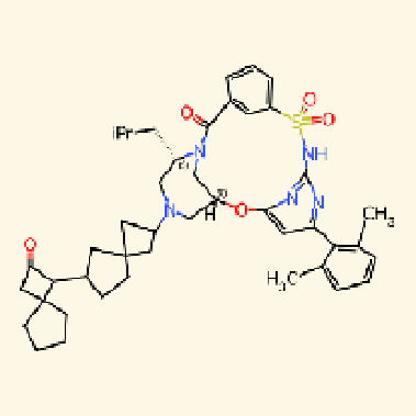 Cc1cccc(C)c1-c1cc2nc(n1)NS(=O)(=O)c1cccc(c1)C(=O)N1C[C@@H](CN(C3CC4(CCC(C5C(=O)CC56CCCC6)C4)C3)C[C@@H]1CC(C)C)O2